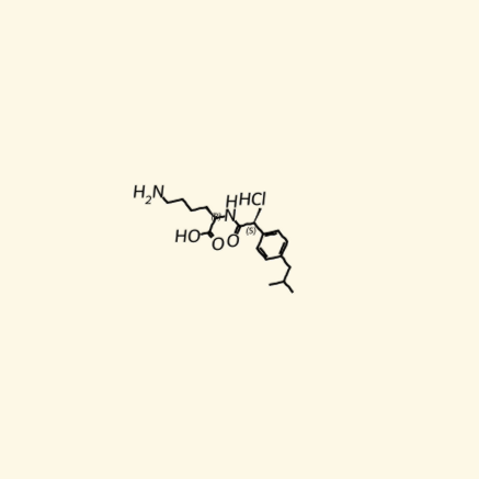 CC(C)Cc1ccc([C@H](C)C(=O)N[C@H](CCCCN)C(=O)O)cc1.Cl